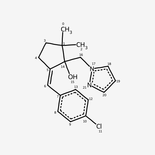 CC1(C)CCC(=Cc2ccc(Cl)cc2)C1(O)Cn1cccn1